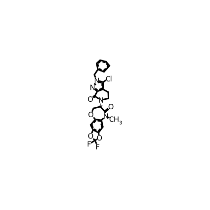 CN1C(=O)[C@@H](N2CCc3c(nn(Cc4ccccc4)c3Cl)C2=O)COc2cc3c(cc21)OC(F)(F)O3